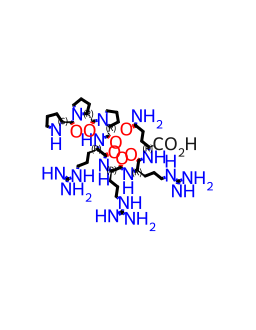 N=C(N)NCCC[C@@H](NC(=O)[C@H]1CCCN1C(=O)[C@H]1CCCN1C(=O)[C@@H]1CCCN1)C(=O)N[C@H](CCCNC(=N)N)C(=O)N[C@H](CCCNC(=N)N)C(=O)N[C@H](CCC(N)=O)C(=O)O